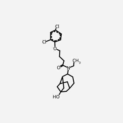 CCN(C(=O)CCCOc1ccc(Cl)cc1Cl)C1CCC2CC3CC(O)(C2)CC31